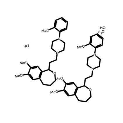 COc1cc2c(cc1OC)C(CCN1CCN(c3ccccc3OC)CC1)OCCC2.COc1cc2c(cc1OC)C(CCN1CCN(c3ccccc3OC)CC1)OCCC2.Cl.Cl.O